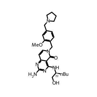 CCCC[C@@H](CO)Nc1nc(N)nc2ccn(Cc3ccc(CN4CCCC4)cc3OC)c(=O)c12